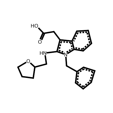 O=C(O)Cc1c(NCC2CCCO2)n(Cc2ccccc2)c2ccccc12